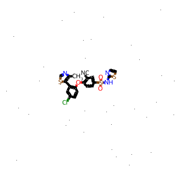 Cc1ncsc1-c1cc(Cl)ccc1Oc1ccc(S(=O)(=O)Nc2nccs2)cc1C#N